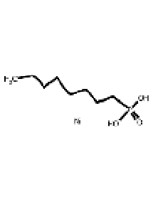 CCCCCCCCP(=O)(O)O.[Ni]